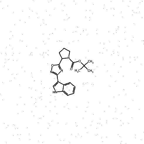 CC(C)(C)OC(=O)N1CCCC1c1nc(-c2c[nH]c3ccccc23)no1